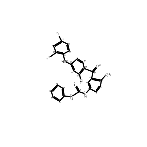 Cc1ccc(NC(=O)Nc2ccccc2)cc1C(=O)c1ccc(Nc2ccc(F)cc2F)cc1Cl